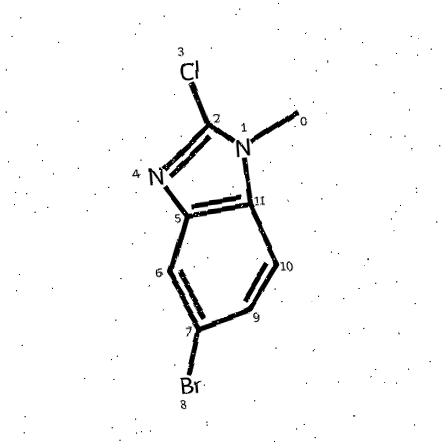 Cn1c(Cl)nc2cc(Br)ccc21